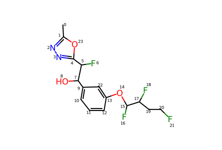 Cc1nnc(C(F)C(O)c2cccc(OC(F)C(F)CCF)c2)o1